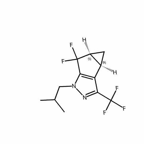 CC(C)Cn1nc(C(F)(F)F)c2c1C(F)(F)[C@H]1C[C@@H]21